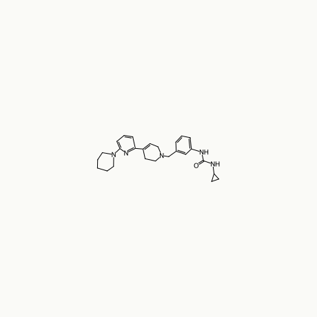 O=C(Nc1cccc(CN2CC=C(c3cccc(N4CCCCC4)n3)CC2)c1)NC1CC1